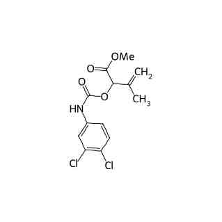 C=C(C)C(OC(=O)Nc1ccc(Cl)c(Cl)c1)C(=O)OC